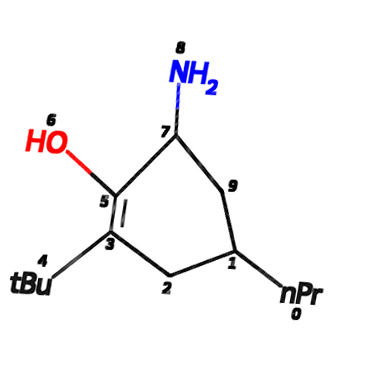 CCCC1CC(C(C)(C)C)=C(O)C(N)C1